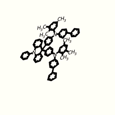 Cc1cc(C)c(C)c(N(c2ccc(-c3ccccc3)cc2)c2ccc(C3(c4ccc(N(c5ccc(-c6ccccc6)cc5)c5cc(C)cc(C)c5C)cc4)c4ccccc4N(c4ccccc4)c4ccccc43)cc2)c1